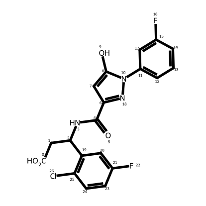 O=C(O)CC(NC(=O)c1cc(O)n(-c2cccc(F)c2)n1)c1cc(F)ccc1Cl